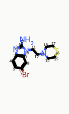 Nc1nc2ccc(Br)cc2n1CCN1CCSCC1